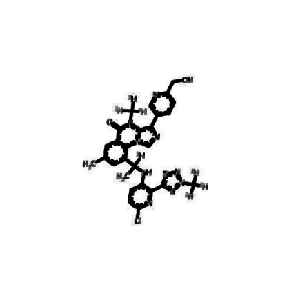 [2H]C(C)(Nc1ccc(Cl)nc1-c1nnn(C([2H])([2H])[2H])n1)c1cc(C)cc2c(=O)n(C([2H])([2H])[2H])c3c(-c4ccc(CO)nc4)ncn3c12